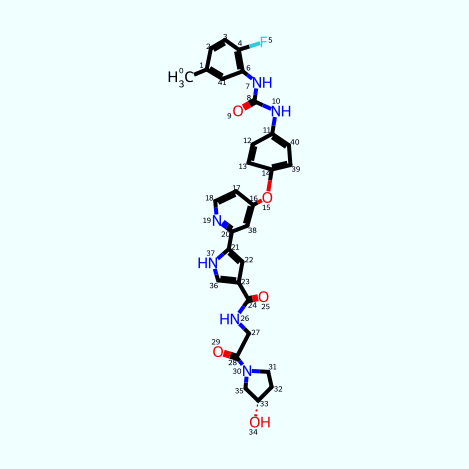 Cc1ccc(F)c(NC(=O)Nc2ccc(Oc3ccnc(-c4cc(C(=O)NCC(=O)N5CC[C@H](O)C5)c[nH]4)c3)cc2)c1